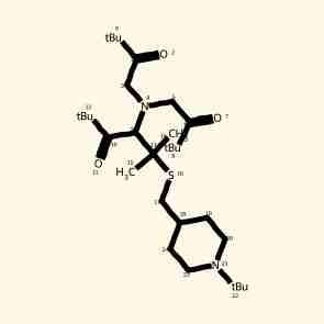 CC(C)(C)C(=O)CN(CC(=O)C(C)(C)C)C(C(=O)C(C)(C)C)C(C)(C)SCC1CCN(C(C)(C)C)CC1